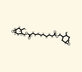 CC1CC2OC2CC1COC(=O)CCCCCCCCC(=O)OCC1CC2OC2CC1C